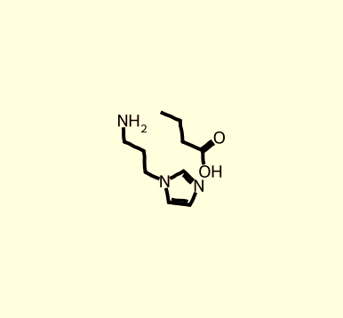 CCCC(=O)O.NCCCn1ccnc1